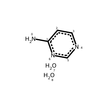 Nc1ccncn1.O.O